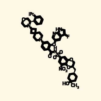 CC(C)c1ccccc1[C@H]1COCCN1C1CC2(CCN(c3ccc(C(=O)NS(=O)(=O)c4cc5c(c([N+](=O)[O-])c4)O[C@H](C[C@H]4CC[C@](C)(O)CC4)CO5)c(Oc4cnc5[nH]cc(F)c5c4)c3)CC2)C1